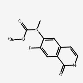 CN(C(=O)OC(C)(C)C)c1cc2c(cc1F)C(=O)[N]C=C2